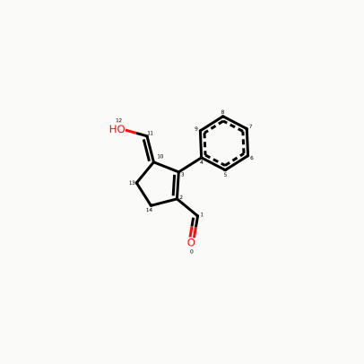 O=CC1=C(c2ccccc2)/C(=C/O)CC1